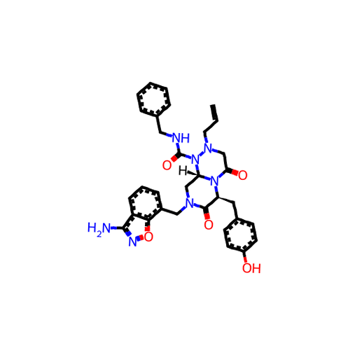 C=CCN1CC(=O)N2[C@@H](Cc3ccc(O)cc3)C(=O)N(Cc3cccc4c(N)noc34)C[C@@H]2N1C(=O)NCc1ccccc1